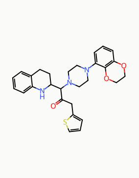 O=C(Cc1cccs1)C(C1CCc2ccccc2N1)N1CCN(c2cccc3c2OCCO3)CC1